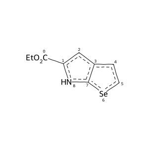 CCOC(=O)c1cc2cc[se]c2[nH]1